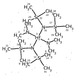 C[N](C)[Hf]([N](C)C)([N]([Si](C)(C)C)[Si](C)(C)C)[N]([Si](C)(C)C)[Si](C)(C)C